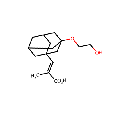 CC(=CC12CC3CC(C1)CC(OCCO)(C3)C2)C(=O)O